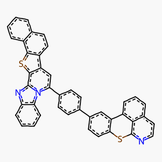 c1cc2c3c(nccc3c1)Sc1ccc(-c3ccc(-c4cc5c6ccc7ccccc7c6sc5c5nc6ccccc6n45)cc3)cc1-2